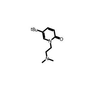 CN(C)CCn1cc(C(C)(C)C)ccc1=O